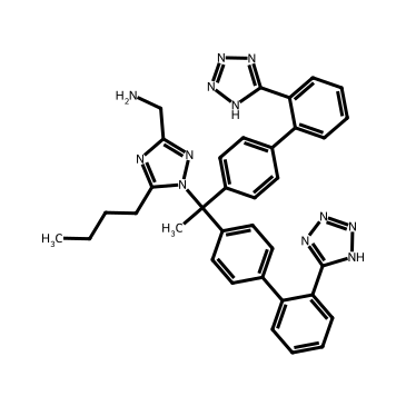 CCCCc1nc(CN)nn1C(C)(c1ccc(-c2ccccc2-c2nnn[nH]2)cc1)c1ccc(-c2ccccc2-c2nnn[nH]2)cc1